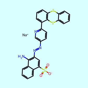 Nc1c(N=Nc2ccc(-c3cccc4c3Sc3ccccc3S4)nc2)cc(S(=O)(=O)[O-])c2ccccc12.[Na+]